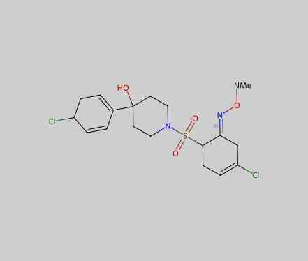 CNO/N=C1\CC(Cl)=CCC1S(=O)(=O)N1CCC(O)(C2=CCC(Cl)C=C2)CC1